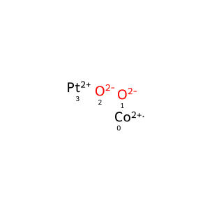 [Co+2].[O-2].[O-2].[Pt+2]